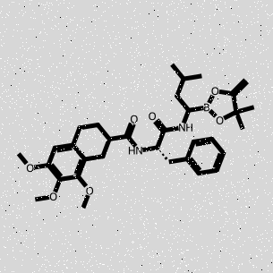 C=C1OB(C(CC(C)C)NC(=O)[C@H](Cc2ccccc2)NC(=O)C2CCc3cc(OC)c(OC)c(OC)c3C2)OC1(C)C